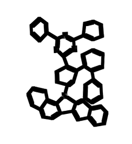 c1ccc(-c2nc(-c3ccccc3)nc(-c3ccc(-n4c5cc6ccccc6cc5c5ccc6ccccc6c54)cc3-c3ccccc3-c3ccccc3)n2)cc1